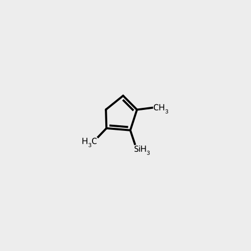 CC1=CCC(C)=C1[SiH3]